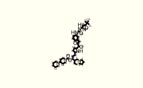 CCC(CN1CCCC1)/C(=C\C=C1/CC=C(C(=O)c2cc3cc(NC(=O)Nc4cc(C(C)(C)C)on4)ccc3o2)N1)OC(=O)N1CCC(N2CCCCC2)CC1